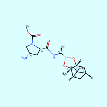 CC(C)[C@H](NC(=O)[C@@H]1C[C@H](N)CN1C(=O)OC(C)(C)C)B1O[C@@H]2C[C@@H]3C[C@@H](C3(C)C)[C@]2(C)O1